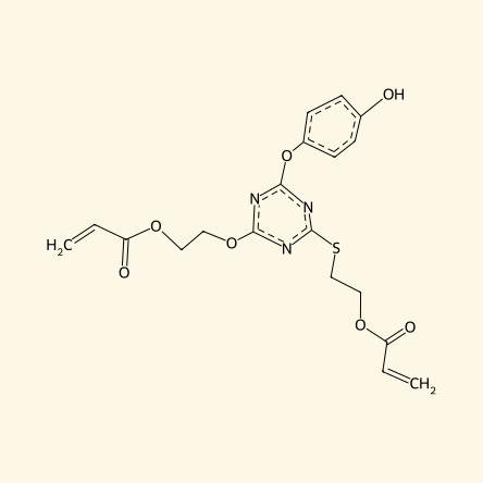 C=CC(=O)OCCOc1nc(Oc2ccc(O)cc2)nc(SCCOC(=O)C=C)n1